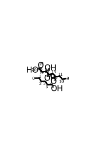 CCCC(O)CC(=O)O.CCCCCCC(O)CC(=O)O